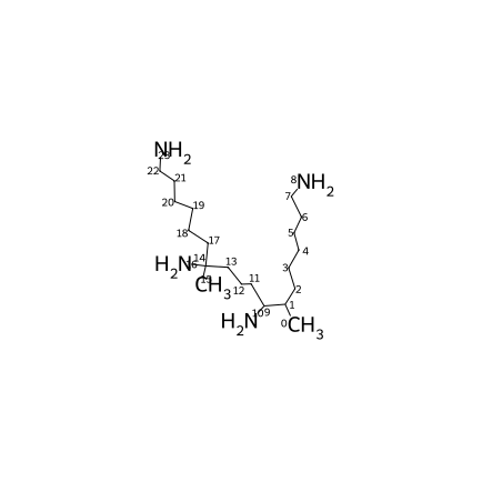 CC(CCCCCCN)C(N)CCCC(C)(N)CCCCCCN